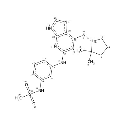 CC1(C)CCC[C@H]1Nc1nc(Nc2cccc(NS(C)(=O)=O)c2)nc2[nH]cnc12